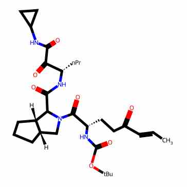 C/C=C/C(=O)CC[C@H](NC(=O)OC(C)(C)C)C(=O)N1C[C@@H]2CCC[C@@H]2C1C(=O)N[C@@H](CCC)C(=O)C(=O)NC1CC1